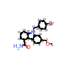 COCc1c[c]c2c3c(C(N)=O)cccc3n(Cc3ccc(Br)cc3)c2c1